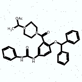 CC(=O)OC(C)N1CCN(C(=O)c2cc(NC(=O)Nc3ccccc3)ccc2OC(c2ccccc2)c2ccccc2)CC1